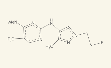 CNc1nc(Nc2cn(CCF)nc2C)ncc1C(F)(F)F